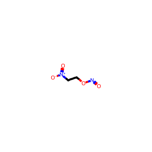 O=NOCC[N+](=O)[O-]